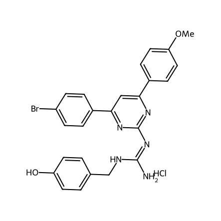 COc1ccc(-c2cc(-c3ccc(Br)cc3)nc(N=C(N)NCc3ccc(O)cc3)n2)cc1.Cl